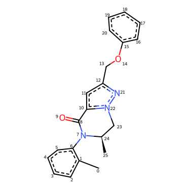 Cc1ccccc1N1C(=O)c2cc(COc3ccccc3)nn2C[C@H]1C